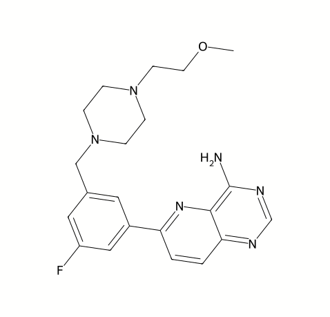 COCCN1CCN(Cc2cc(F)cc(-c3ccc4ncnc(N)c4n3)c2)CC1